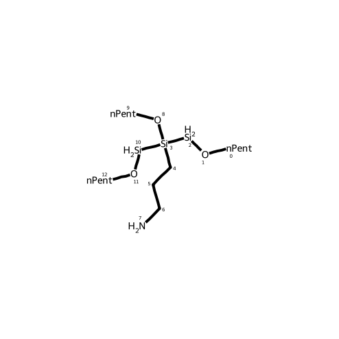 CCCCCO[SiH2][Si](CCCN)(OCCCCC)[SiH2]OCCCCC